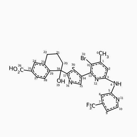 Cc1cc(Nc2cc(C(F)(F)F)ccn2)nc(-c2cnc(C3(O)CCCc4cc(C(=O)O)ccc43)s2)c1Br